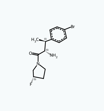 C[C@@H](c1ccc(Br)cc1)[C@H](N)C(=O)N1CC[C@H](F)C1